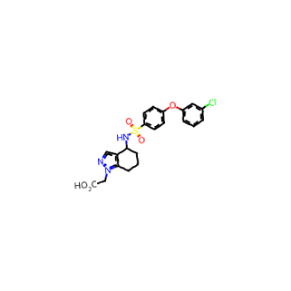 O=C(O)Cn1ncc2c1CCCC2NS(=O)(=O)c1ccc(Oc2cccc(Cl)c2)cc1